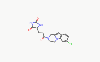 O=C1NC(=O)C(CCC(=O)N2CCn3c(cc4ccc(Cl)cc43)C2)N1